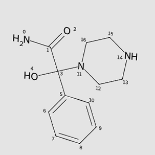 NC(=O)C(O)(c1ccccc1)N1CCNCC1